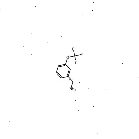 NCc1[c]ccc(OC(F)(F)F)c1